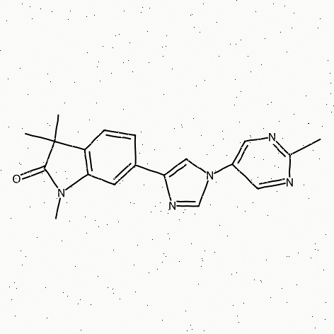 Cc1ncc(-n2cnc(-c3ccc4c(c3)N(C)C(=O)C4(C)C)c2)cn1